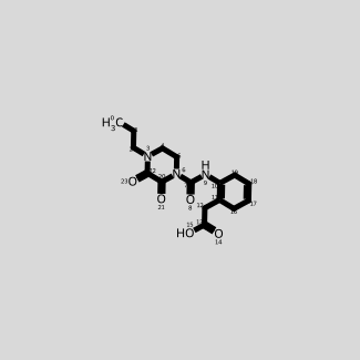 CCCN1CCN(C(=O)NC2=C(CC(=O)O)CC=CC2)C(=O)C1=O